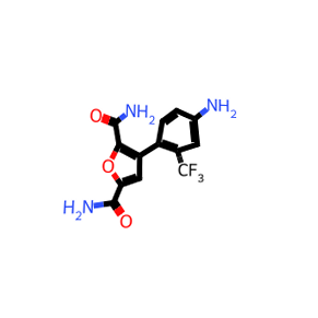 NC(=O)c1cc(-c2ccc(N)cc2C(F)(F)F)c(C(N)=O)o1